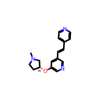 CN1CC[C@@H](Oc2cncc(C=Cc3ccncc3)c2)C1